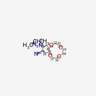 CN(C)CN(C)c1cc2c(cc1C#N)OCCOCCOCCO2